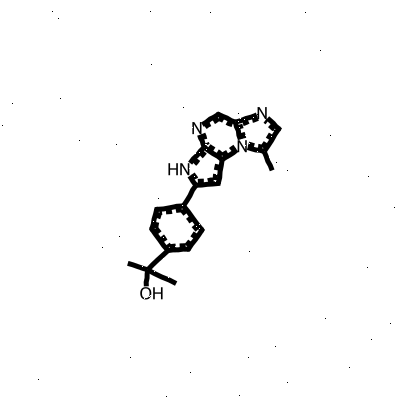 Cc1cnc2cnc3[nH]c(-c4ccc(C(C)(C)O)cc4)cc3n12